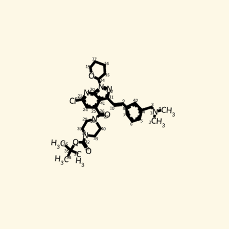 CN(C)Cc1cccc(/C=C/c2nn(C3CCCCO3)c3nc(Cl)cc(C(=O)N4CCN(C(=O)OC(C)(C)C)CC4)c23)c1